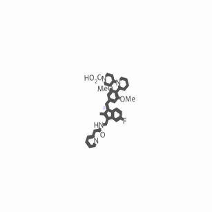 COc1cc(/C=C2/C(C)=C(CNC(=O)Cc3ccccn3)c3cc(F)ccc32)cc(OC)c1C1CCCCN1C1CCN(C(=O)O)CC1